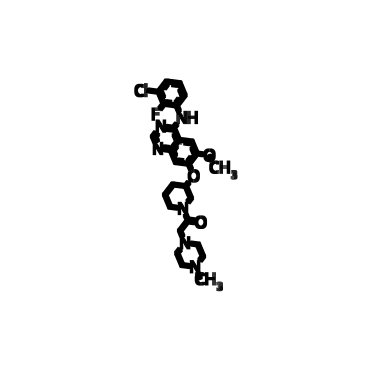 COc1cc2c(Nc3cccc(Cl)c3F)ncnc2cc1OC1CCCN(C(=O)CN2CCN(C)CC2)C1